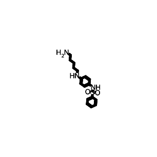 NCCCCCNc1ccc(NS(=O)(=O)c2ccccc2)cc1